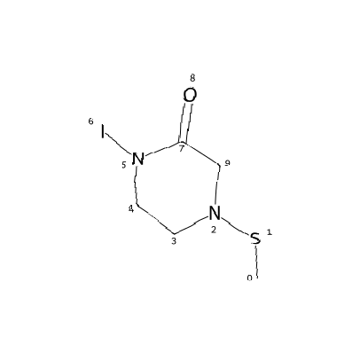 CSN1CCN(I)C(=O)C1